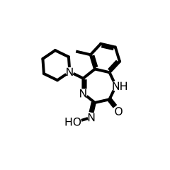 Cc1cccc2[nH]c(=O)c(=NO)nc(N3CCCCC3)c12